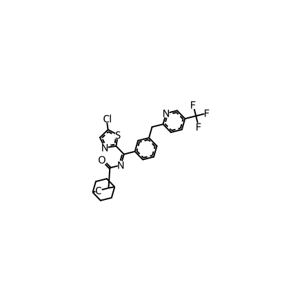 O=C(N=C(c1cccc(Cc2ccc(C(F)(F)F)cn2)c1)c1ncc(Cl)s1)C1CC2CCC1CC2